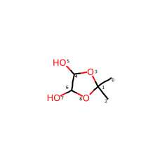 CC1(C)OC(O)C(O)O1